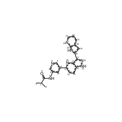 CC(C)C(=O)Nc1cncc(-c2ccc3[nH]nc(-c4cc5cccnc5[nH]4)c3n2)c1